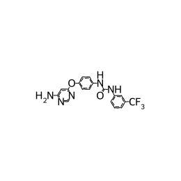 Nc1cc(Oc2ccc(NC(=O)Nc3cccc(C(F)(F)F)c3)cc2)ncn1